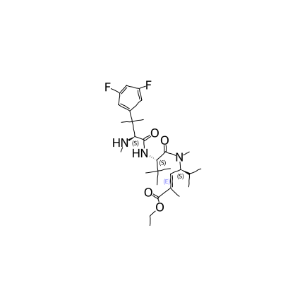 CCOC(=O)/C(C)=C/[C@H](C(C)C)N(C)C(=O)[C@@H](NC(=O)[C@@H](NC)C(C)(C)c1cc(F)cc(F)c1)C(C)(C)C